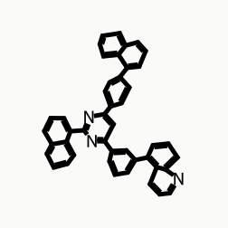 c1cc(-c2cc(-c3ccc(-c4cccc5ccccc45)cc3)nc(-c3cccc4ccccc34)n2)cc(-c2cccc3ncccc23)c1